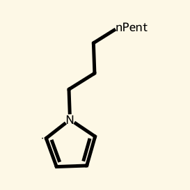 CCCCCCCCn1[c]ccc1